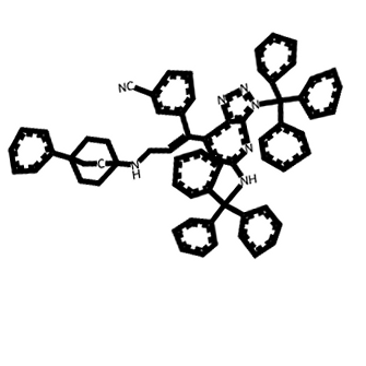 N#Cc1cccc(/C(=C\CNC23CCC(c4ccccc4)(CC2)CC3)c2cc(NC(c3ccccc3)(c3ccccc3)c3ccccc3)nc3c2nnn3C(c2ccccc2)(c2ccccc2)c2ccccc2)c1